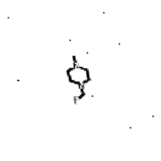 CN1CCN(CF)CC1